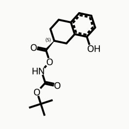 CC(C)(C)OC(=O)NOC(=O)[C@H]1CCc2cccc(O)c2C1